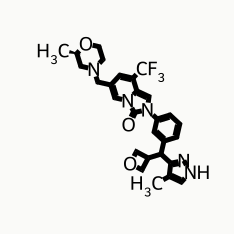 Cc1c[nH]nc1C(c1cccc(-n2cc3c(C(F)(F)F)cc(CN4CCO[C@H](C)C4)cn3c2=O)c1)C1COC1